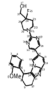 COc1ccccc1C1CCCc2nc3ccc(-c4cnc(N5CCC(F)(CO)CC5)nc4)cn3c21